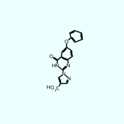 O=C(O)c1cnn(-c2nc3ccc(Oc4ccccc4)cc3c(=O)[nH]2)c1